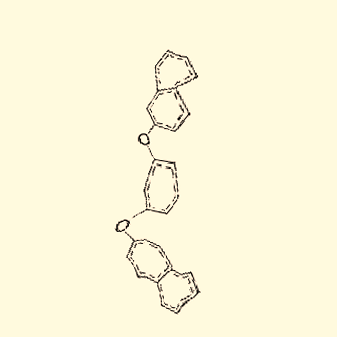 c1cc(Oc2ccc3ccccc3c2)cc(Oc2ccc3ccccc3c2)c1